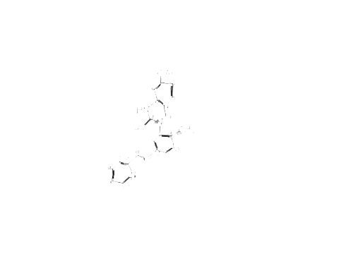 CC(=O)Oc1ccc2c(c1)NC(=O)N(c1cc(OCc3ccccn3)ccc1C)C2